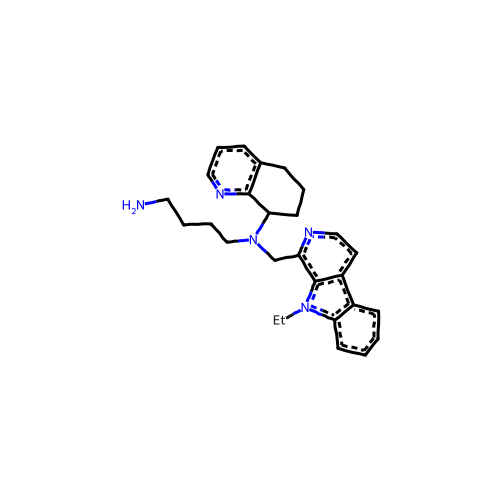 CCn1c2ccccc2c2ccnc(CN(CCCCN)C3CCCc4cccnc43)c21